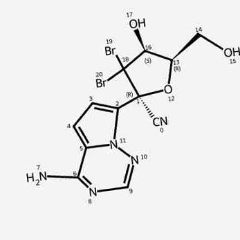 N#C[C@@]1(c2ccc3c(N)ncnn23)O[C@H](CO)[C@H](O)C1(Br)Br